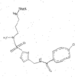 CCCCCCNCCCN(C)S(=O)(=O)c1ccc(CNC(=O)c2ccc(Cl)cc2)s1